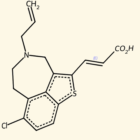 C=CCN1CCc2c(Cl)ccc3sc(/C=C/C(=O)O)c(c23)C1